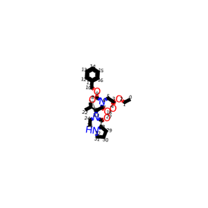 CCOC(=O)CN(C(=O)OCc1ccccc1)C(=O)[C@H](C(C)C)N(CC)C(=O)[C@@H]1CCCN1